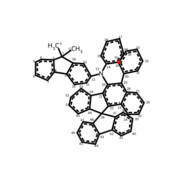 CC1(C)c2ccccc2-c2ccc(N(c3ccccc3)c3c4c(c5ccccc5c3-c3ccccc3)C3(c5ccccc5-c5ccccc53)c3ccccc3-4)cc21